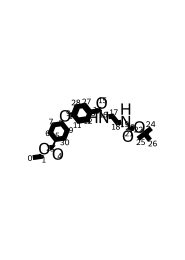 CCOC(=O)[C@H]1CC[C@@H](Oc2ccc(C(=O)NCCNC(=O)OC(C)(C)C)cc2)CC1